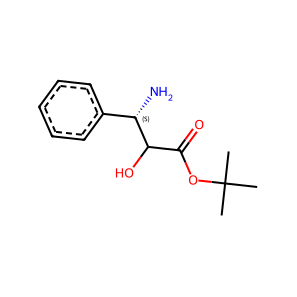 CC(C)(C)OC(=O)C(O)[C@@H](N)c1ccccc1